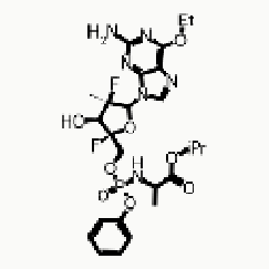 CCOc1nc(N)nc2c1ncn2C1O[C@](F)(COP(=O)(NC(C)C(=O)OC(C)C)Oc2ccccc2)[C@@H](O)[C@@]1(C)F